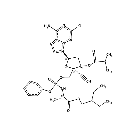 C#C[C@]1(COP(=O)(N[C@@H](C)C(=O)OCC(CC)CC)Oc2ccccc2)O[C@@H](n2cnc3c(N)nc(Cl)nc32)C[C@@H]1OC(=O)C(C)C